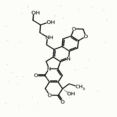 CC[C@@]1(O)C(=O)OCc2c1cc1n(c2=O)Cc2c-1nc1cc3c(cc1c2CNCC(O)CO)OCO3